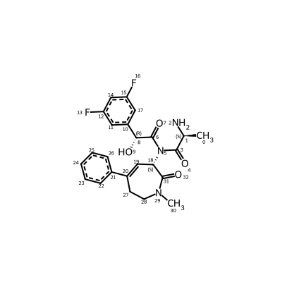 C[C@H](N)C(=O)N(C(=O)[C@H](O)c1cc(F)cc(F)c1)[C@H]1C=C(c2ccccc2)CCN(C)C1=O